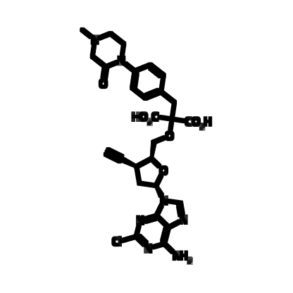 C#C[C@@H]1C[C@H](n2cnc3c(N)nc(Cl)nc32)O[C@@H]1COC(Cc1ccc(N2CCN(C)CC2=O)cc1)(C(=O)O)C(=O)O